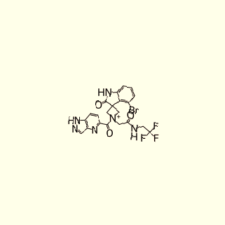 O=C(C[N+]1(C(=O)c2ccc3[nH]ncc3n2)CC2(C1)C(=O)Nc1cccc(Br)c12)NCC(F)(F)F